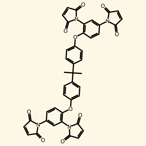 CC(C)(c1ccc(Oc2ccc(N3C(=O)C=CC3=O)cc2N2C(=O)C=CC2=O)cc1)c1ccc(Oc2ccc(N3C(=O)C=CC3=O)cc2N2C(=O)C=CC2=O)cc1